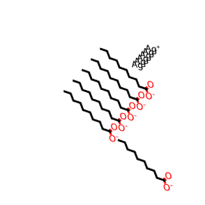 CCCCCCCCCC(=O)[O-].CCCCCCCCCC(=O)[O-].CCCCCCCCCC(=O)[O-].CCCCCCCCCC(=O)[O-].CCCCCCCCCC(=O)[O-].CCCCCCCCCC(=O)[O-].[Ag+].[Ag+].[Ag+].[Ag+].[Ag+].[Ag+]